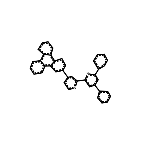 c1ccc(-c2cc(-c3ccccc3)nc(-c3cc(-c4ccc5c6ccccc6c6ccccc6c5c4)ccn3)c2)cc1